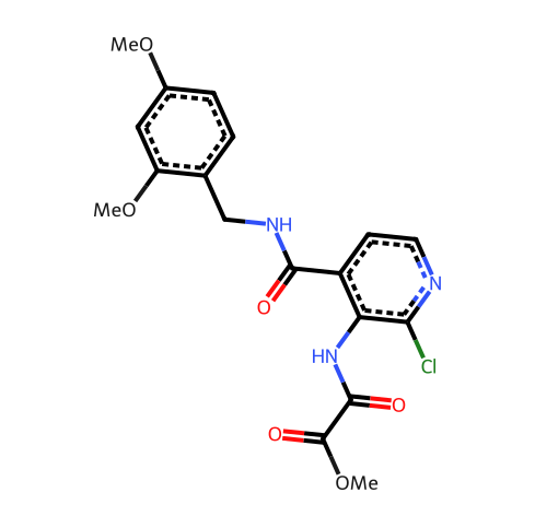 COC(=O)C(=O)Nc1c(C(=O)NCc2ccc(OC)cc2OC)ccnc1Cl